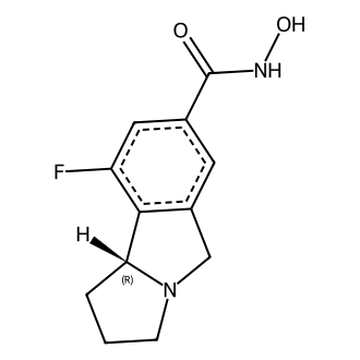 O=C(NO)c1cc(F)c2c(c1)CN1CCC[C@H]21